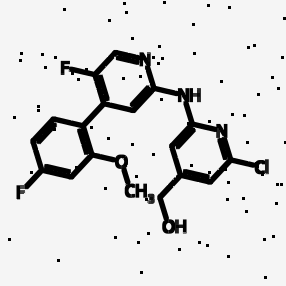 COc1cc(F)ccc1-c1cc(Nc2cc(CO)cc(Cl)n2)ncc1F